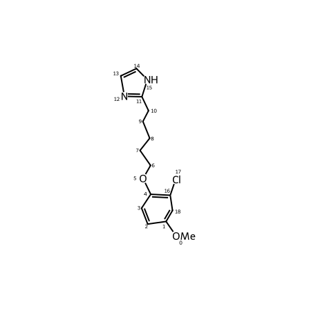 COc1ccc(OCCCCCc2ncc[nH]2)c(Cl)c1